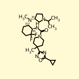 CC(C)N1CC[C@@H](N(C)[C@H]2CCCC(F)(F)[C@@H]2NC(=O)N2CCC(C)(c3noc(C4CC4)n3)CC2)C1